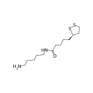 NCCCCCNC(=O)CCCC[C@@H]1CCSS1